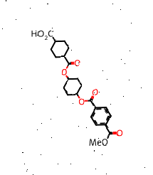 COC(=O)c1ccc(C(=O)OC2CCC(OC(=O)C3CCC(C(=O)O)CC3)CC2)cc1